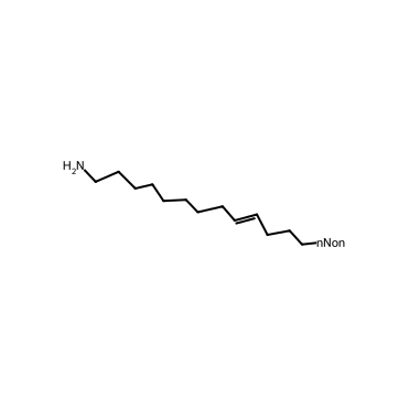 CCCCCCCCCCCCC=CCCCCCCCCN